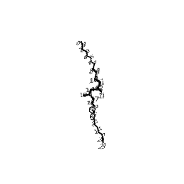 CCCCCCCCCCCCC(C)CC(C)CCCOCOCCCCCCC